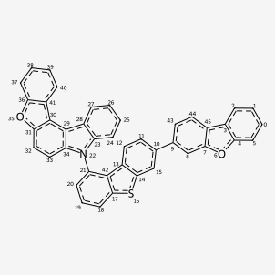 c1ccc2c(c1)oc1cc(-c3ccc4c(c3)sc3cccc(-n5c6ccccc6c6c7c(ccc65)oc5ccccc57)c34)ccc12